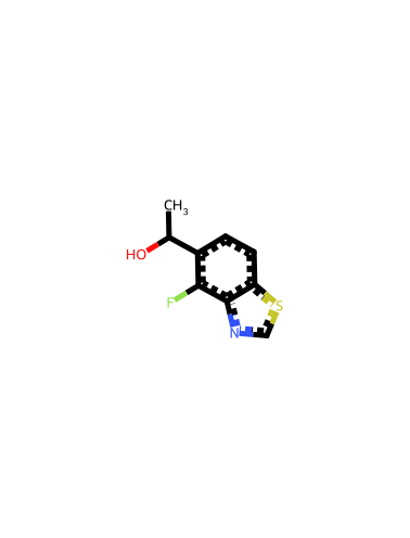 CC(O)c1ccc2scnc2c1F